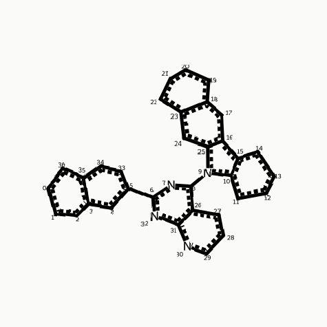 c1ccc2cc(-c3nc(-n4c5ccccc5c5cc6ccccc6cc54)c4cccnc4n3)ccc2c1